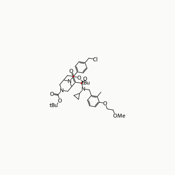 COCCOc1cccc(CN(C(=O)C2=C(c3ccc(CCl)cc3)CC3CN(C(=O)OC(C)(C)C)CC2N3C(=O)OC(C)(C)C)C2CC2)c1C